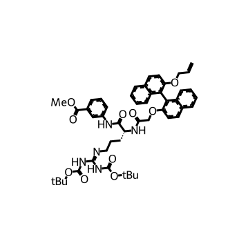 C=CCOc1ccc2ccccc2c1-c1c(OCC(=O)N[C@H](CCCN=C(NC(=O)OC(C)(C)C)NC(=O)OC(C)(C)C)C(=O)Nc2cccc(C(=O)OC)c2)ccc2ccccc12